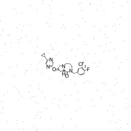 O=C1[C@@H]2C[C@H](Oc3cnc(C4CC4)cn3)CN2CCCN1Cc1ccc(F)c(C(F)(F)F)c1